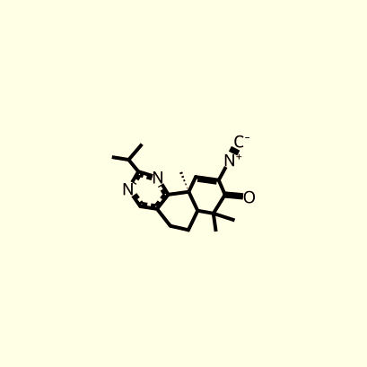 [C-]#[N+]C1=C[C@]2(C)c3nc(C(C)C)ncc3CCC2C(C)(C)C1=O